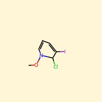 CON1C=CC=C(I)C1Cl